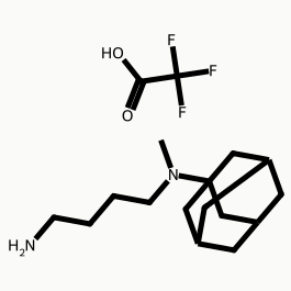 CN(CCCCN)C12CC3CC(CC(C3)C1)C2.O=C(O)C(F)(F)F